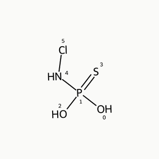 OP(O)(=S)NCl